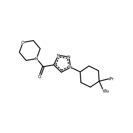 CC(C)C1(C(C)(C)C)CCC(n2cc(C(=O)N3CCOCC3)nn2)CC1